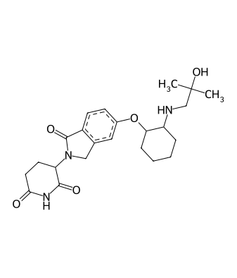 CC(C)(O)CNC1CCCCC1Oc1ccc2c(c1)CN(C1CCC(=O)NC1=O)C2=O